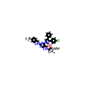 COC(=O)[C@H](C)NC(=O)c1cnc(NCc2ccc(C(F)(F)F)cc2)nc1N1CC(c2ccccc2)C(c2ccc(Cl)cc2)=N1